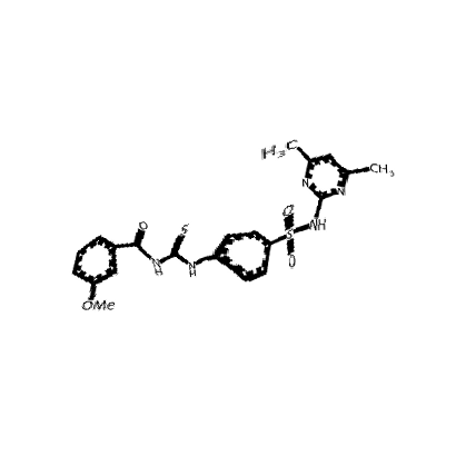 COc1cccc(C(=O)NC(=S)Nc2ccc(S(=O)(=O)Nc3nc(C)cc(C)n3)cc2)c1